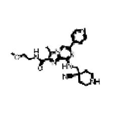 COCCNC(=O)c1nc2c(NCC3(C#N)CCNCC3)nc(-c3ccncc3)cn2c1C